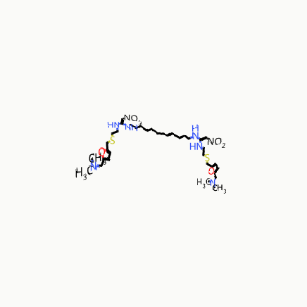 CN(C)Cc1ccc(CSCCNC(=C[N+](=O)[O-])NCCCCCCCCCCCCNC(=C[N+](=O)[O-])NCCSCc2ccc(CN(C)C)o2)o1